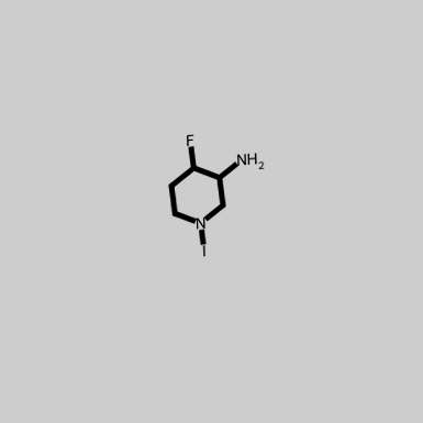 NC1CN(I)CCC1F